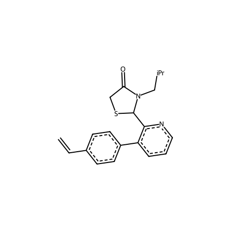 C=Cc1ccc(-c2cccnc2C2SCC(=O)N2CC(C)C)cc1